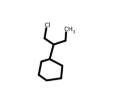 CCC(CCl)C1CCCCC1